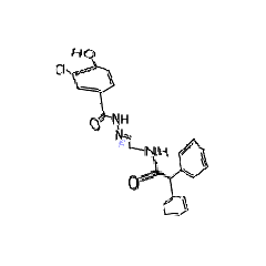 O=C(N/N=C/CNC(=O)C(c1ccccc1)c1ccccc1)c1ccc(O)c(Cl)c1